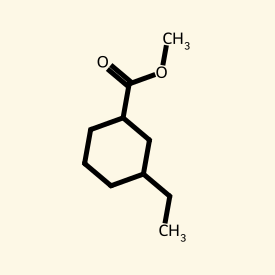 CCC1CCCC(C(=O)OC)C1